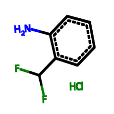 Cl.Nc1ccccc1C(F)F